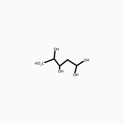 O=C(O)C(O)C(O)CC(O)O